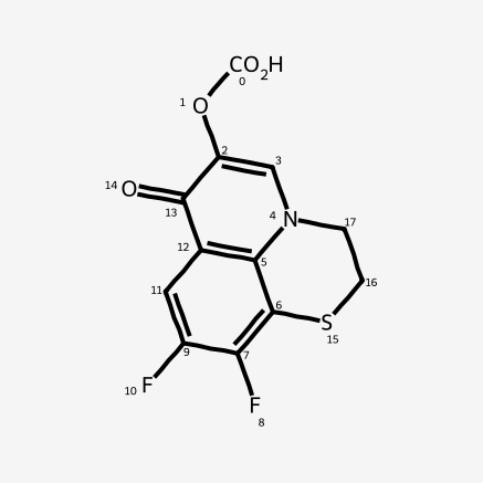 O=C(O)Oc1cn2c3c(c(F)c(F)cc3c1=O)SCC2